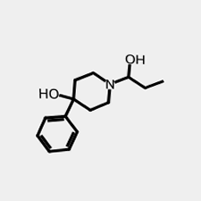 CCC(O)N1CCC(O)(c2ccccc2)CC1